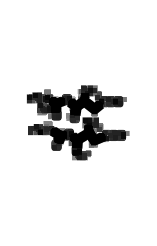 CCCCCCCCCC(=O)OC(=O)C(N)CC(=O)[O-].CCCCCCCCCC(=O)OC(=O)C(N)CC(=O)[O-].[Na+].[Na+]